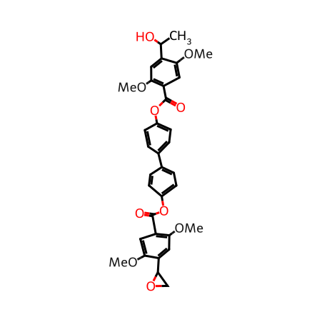 COc1cc(C(C)O)c(OC)cc1C(=O)Oc1ccc(-c2ccc(OC(=O)c3cc(OC)c(C4CO4)cc3OC)cc2)cc1